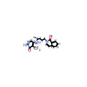 C[C@@H](CCCn1ccc2ccccc2c1=O)Nc1cn[nH]c(=O)c1C(F)(F)F